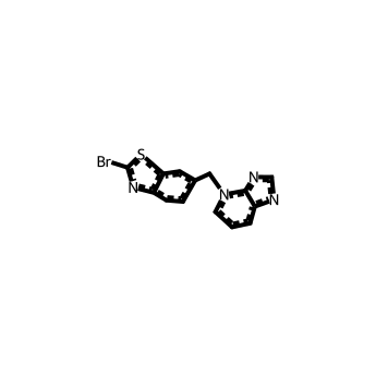 Brc1nc2ccc(Cn3cccc4ncnc3-4)cc2s1